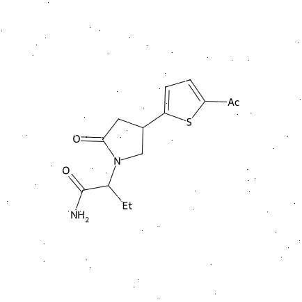 CCC(C(N)=O)N1CC(c2ccc(C(C)=O)s2)CC1=O